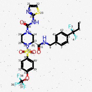 CCC(F)(F)c1ccc(CNC(=O)[C@H]2CN(C(=O)Nc3nccs3)CCN2S(=O)(=O)c2ccc(OC(F)(F)F)cc2)cc1